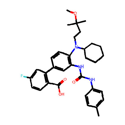 COC(C)(C)CCN(c1ccc(-c2cc(F)ccc2C(=O)O)cc1NC(=O)Nc1ccc(C)cc1)C1CCCCC1